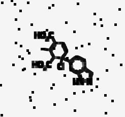 CC1=C(C(=O)O)C=CC(Cl)(c2ccc3cn[nH]c3c2)C1C(=O)O